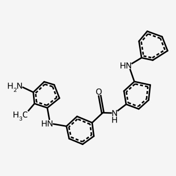 Cc1c(N)cccc1Nc1cccc(C(=O)Nc2cccc(Nc3ccccc3)c2)c1